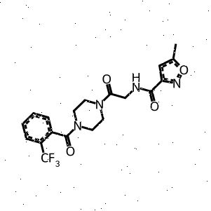 Cc1cc(C(=O)NCC(=O)N2CCN(C(=O)c3ccccc3C(F)(F)F)CC2)no1